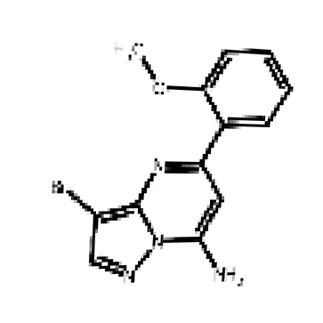 COc1ccccc1-c1cc(N)n2ncc(Br)c2n1